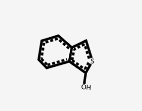 Oc1scc2ccccc12